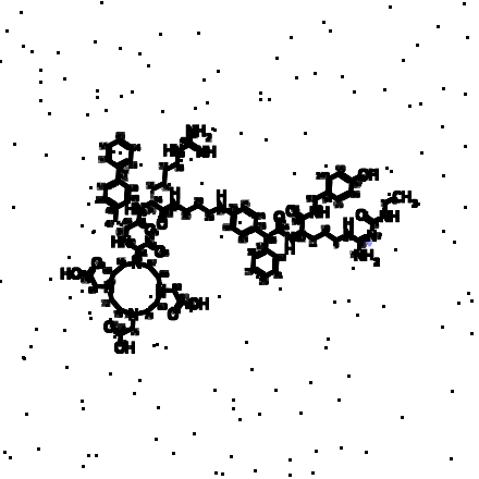 CCNC(=O)/N=C(/N)NCCC[C@@H](NC(=O)[C@@H](c1ccccc1)c1ccc(NCCCNC(=O)[C@@H](CCCCNC(=N)N)NC(=O)[C@@H](Cc2ccc(-c3ccccc3)cc2)NC(C=O)N2CCN(CC(=O)O)CCN(CC(=O)O)CCN(CC(=O)O)CC2)cc1)C(=O)NCc1ccc(O)cc1